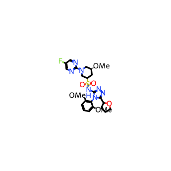 COc1cccc(OC)c1-n1c(NS(=O)(=O)[C@@H]2C[C@@H](OC)CN(c3ncc(F)cn3)C2)nnc1C1CCCO1